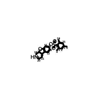 Cc1cc(C)c(S(=O)(=O)Oc2ccc3c(c2)OC2CNCCC32)c(C)c1